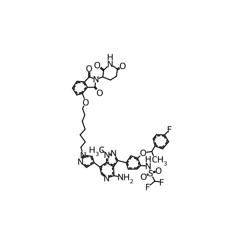 CC(Oc1cc(-c2nn(C)c3c(-c4cnn(CCCCCCCOc5cccc6c5C(=O)N(C5CCC(=O)NC5=O)C6=O)c4)cnc(N)c23)ccc1NS(=O)(=O)C(F)F)c1ccc(F)cc1